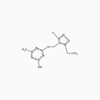 CCn1cnc(F)c1CSc1nc(C)cc(O)n1